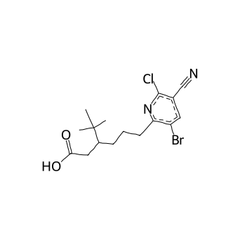 CC(C)(C)C(CCCc1nc(Cl)c(C#N)cc1Br)CC(=O)O